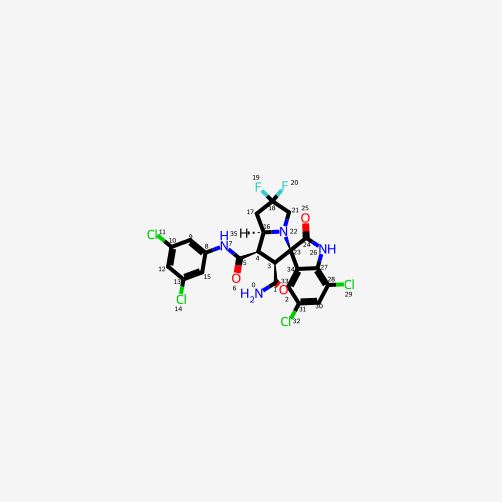 NC(=O)[C@H]1[C@@H](C(=O)Nc2cc(Cl)cc(Cl)c2)[C@H]2CC(F)(F)CN2[C@]12C(=O)Nc1c(Cl)cc(Cl)cc12